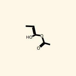 C/C=C(\O)OC(C)=O